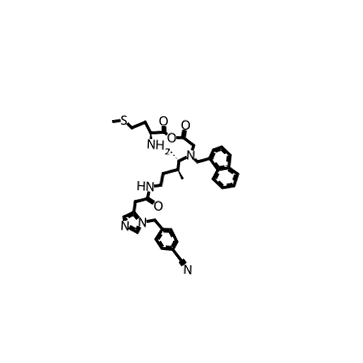 CSCC[C@H](N)C(=O)OC(=O)CN(Cc1cccc2ccccc12)[C@@H](C)[C@@H](C)CCNC(=O)Cc1cncn1Cc1ccc(C#N)cc1